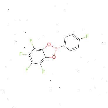 Fc1ccc(B2Oc3c(F)c(F)c(F)c(F)c3O2)cc1